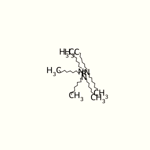 CCCCCCCCN(CCCCCCCC)P(N(CCCCCCCC)CCCCCCCC)N(CCCCCCCC)CCCCCCCC